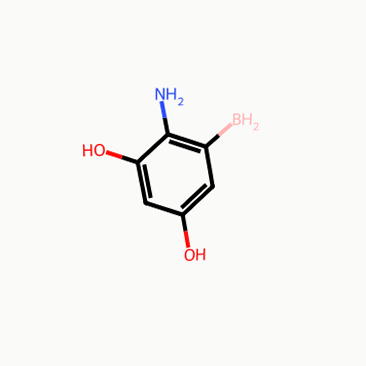 Bc1cc(O)cc(O)c1N